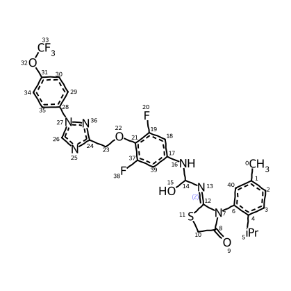 Cc1ccc(C(C)C)c(N2C(=O)CS/C2=N\C(O)Nc2cc(F)c(OCc3ncn(-c4ccc(OC(F)(F)F)cc4)n3)c(F)c2)c1